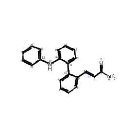 NC(=O)/C=C/c1ccccc1-c1ccccc1Nc1ccccc1